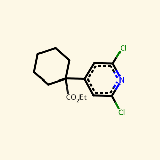 CCOC(=O)C1(c2cc(Cl)nc(Cl)c2)CCCCC1